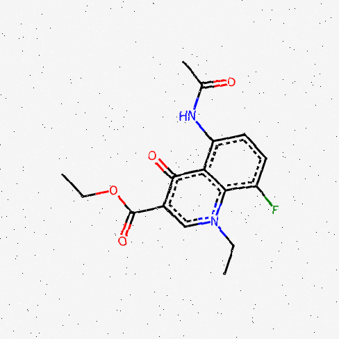 CCOC(=O)c1cn(CC)c2c(F)ccc(NC(C)=O)c2c1=O